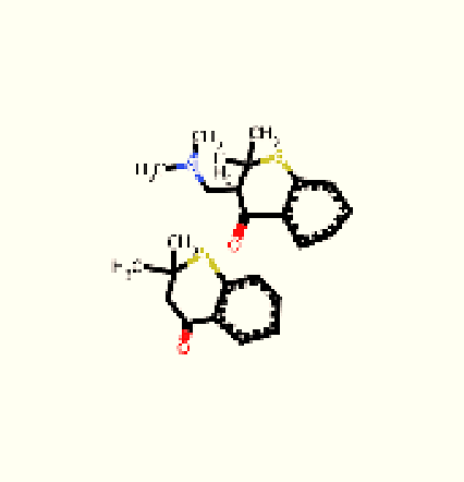 CC1(C)CC(=O)c2ccccc2S1.CN(C)CC1C(=O)c2ccccc2SC1(C)C